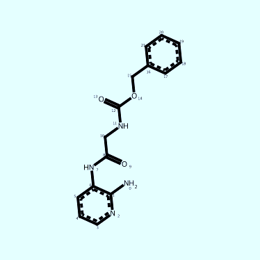 Nc1ncccc1NC(=O)CNC(=O)OCc1ccccc1